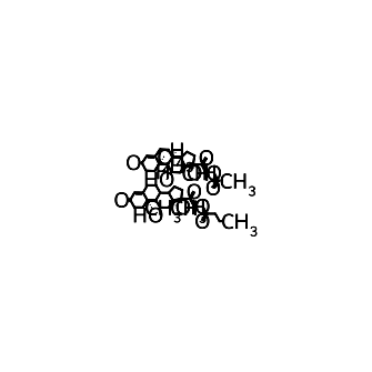 CC(=O)OCC(=O)[C@@]1(O)CC[C@H]2[C@@H]3CCC4=CC(=O)CC[C@]4(C)[C@H]3[C@@H](O)C[C@@]21C.CCCC(=O)OCC(=O)[C@@]1(O)CCC2C3CCC4=CC(=O)CC[C@]4(C)C3[C@@H](O)C[C@@]21C